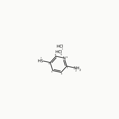 Cl.Cl.Nc1ccc(S)cn1